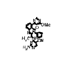 COc1cc(-c2cccc3nc([C@@H](C)Nc4nc(N)ncc4C#N)n(-c4ccccc4)c(=O)c23)ncn1